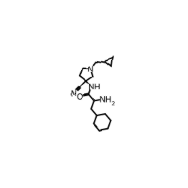 N#CC1(NC(=O)C(N)CC2CCCCC2)CCN(CC2CC2)C1